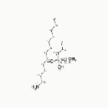 CCCCCCCCCCCCN.CCOS(=O)(=O)O.O